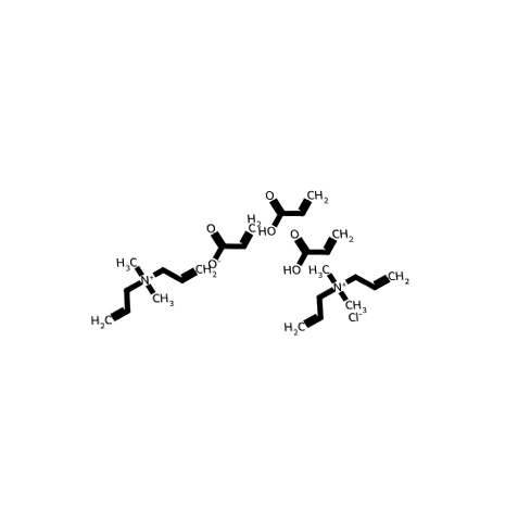 C=CC(=O)O.C=CC(=O)O.C=CC(=O)[O-].C=CC[N+](C)(C)CC=C.C=CC[N+](C)(C)CC=C.[Cl-]